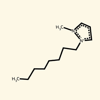 CCCCCCCC[n+]1cccn1C